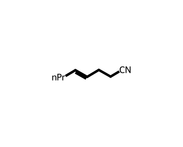 CCCC=CCCC#N